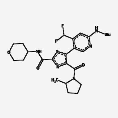 CC1CCCN1C(=O)c1nc(C(=O)NC2CCOCC2)sc1-c1cnc(NC(C)(C)C)cc1C(F)F